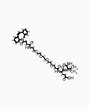 CC(C)[C@H](NC(=O)[C@@H](CCC(=O)O)NC(=O)CCOCCOCCOCCOCCNC(=O)CCC(=O)N1Cc2ccccc2C#Cc2ccccc21)C(N)=O